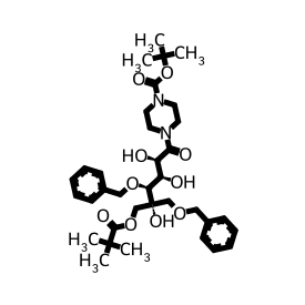 CC(C)(C)OC(=O)N1CCN(C(=O)[C@H](O)[C@@H](O)[C@H](OCc2ccccc2)[C@@](O)(COCc2ccccc2)COC(=O)C(C)(C)C)CC1